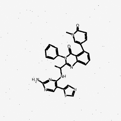 CC(Nc1nc(N)ncc1-c1cncs1)c1nc2cccc(-c3ccc(=O)n(C)c3)c2c(=O)n1-c1ccccc1